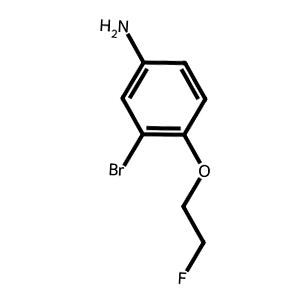 Nc1ccc(OCCF)c(Br)c1